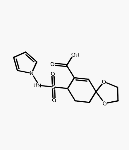 O=C(O)C1=CC2(CCC1S(=O)(=O)Nn1cccc1)OCCO2